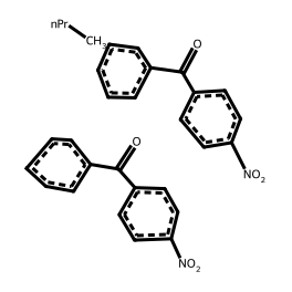 CCCC.O=C(c1ccccc1)c1ccc([N+](=O)[O-])cc1.O=C(c1ccccc1)c1ccc([N+](=O)[O-])cc1